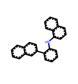 c1ccc(-c2ccc3ccccc3c2)c(Nc2cccc3ccccc23)c1